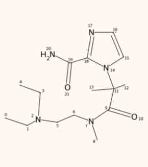 CCN(CC)CCN(C)C(=O)C(C)(C)n1c[c]nc1C(N)=O